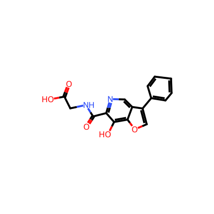 O=C(O)CNC(=O)c1ncc2c(-c3ccccc3)coc2c1O